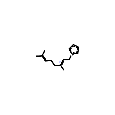 CC(C)=CCC/C(C)=C/Cn1cccc1